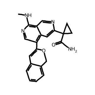 CNc1ncc(C2=Cc3ccccc3CO2)c2cc(C3(C(N)=O)CC3)ncc12